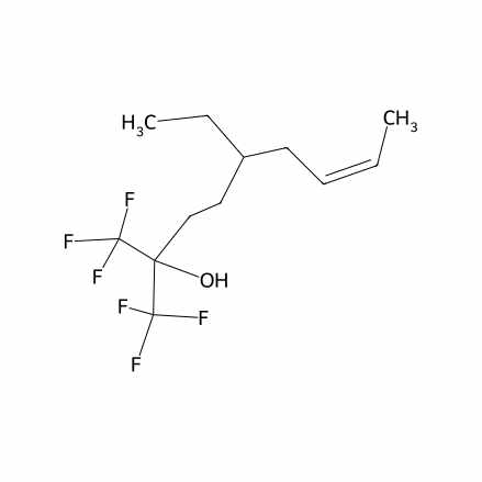 C/C=C\CC(CC)CCC(O)(C(F)(F)F)C(F)(F)F